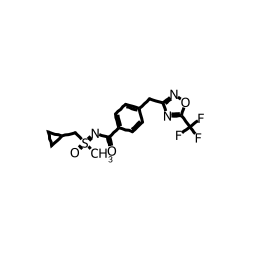 CS(=O)(CC1CC1)=NC(=O)c1ccc(Cc2noc(C(F)(F)F)n2)cc1